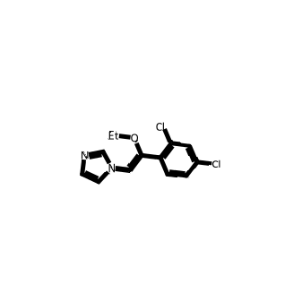 CCO/C(=C\n1ccnc1)c1ccc(Cl)cc1Cl